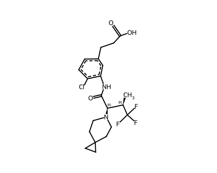 C[C@H]([C@H](C(=O)Nc1cc(CCC(=O)O)ccc1Cl)N1CCC2(CC1)CC2)C(F)(F)F